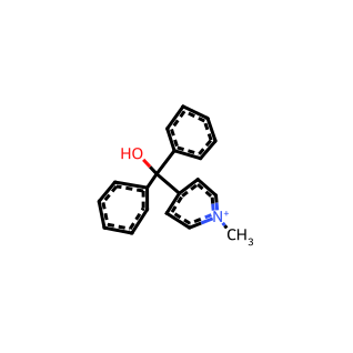 C[n+]1ccc(C(O)(c2ccccc2)c2ccccc2)cc1